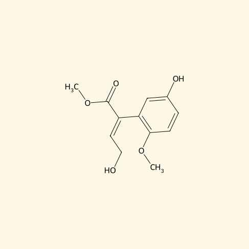 COC(=O)/C(=C/CO)c1cc(O)ccc1OC